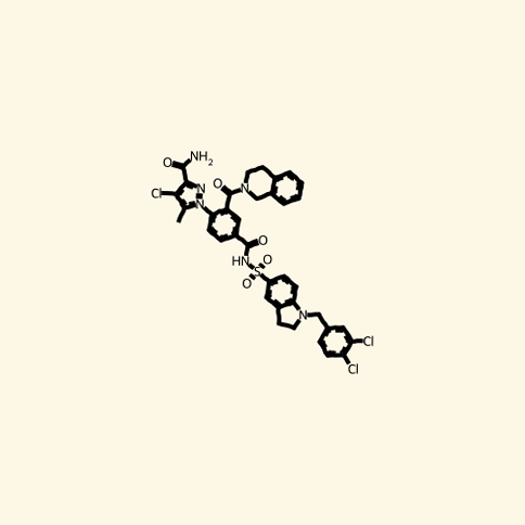 Cc1c(Cl)c(C(N)=O)nn1-c1ccc(C(=O)NS(=O)(=O)c2ccc3c(c2)CCN3Cc2ccc(Cl)c(Cl)c2)cc1C(=O)N1CCc2ccccc2C1